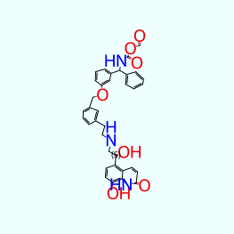 O=COC(=O)NC(c1ccccc1)c1cccc(OCc2cccc(CCNC[C@@H](O)c3ccc(O)c4[nH]c(=O)ccc34)c2)c1